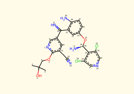 CC(C)(O)COc1ncc(C(=N)c2cc(O[C@H](N)c3c(Cl)cncc3Cl)ccc2N)cc1C#N